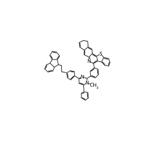 CN1C(c2ccccc2)=CC(c2ccc(CCC3c4ccccc4C4C=CC=CC43)cc2)=NC1c1cccc(-c2nc3cc4c(cc3c3sc5ccccc5c23)CCC=C4)c1